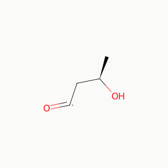 C[C@@H](O)C[C]=O